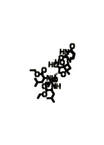 CCOC(=O)C(CC(C)C)NP(=O)(NC(CC(C)C)C(=O)OCC)OC[C@H]1OC2(C)CC(n3ccc(=O)[nH]c3=O)C2(O)C1O